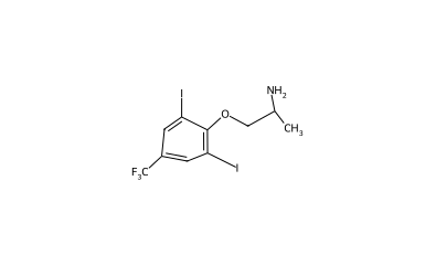 CC(N)COc1c(I)cc(C(F)(F)F)cc1I